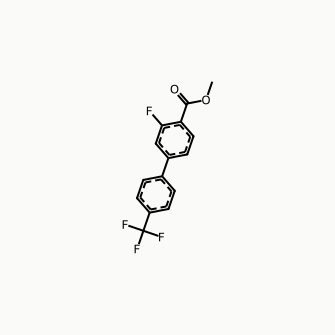 COC(=O)c1ccc(-c2ccc(C(F)(F)F)cc2)cc1F